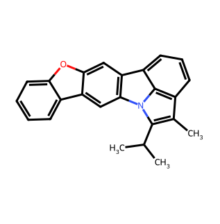 Cc1c(C(C)C)n2c3cc4c(cc3c3cccc1c32)oc1ccccc14